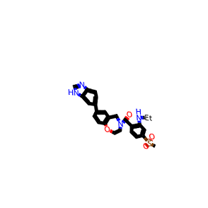 CCNc1cc(S(C)(=O)=O)ccc1C(=O)N1CCOc2ccc(-c3ccc4nc[nH]c4c3)cc2C1